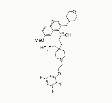 COc1ccc2ncc(CN3CCOCC3)c([C@@H](O)CCC3(CC(=O)O)CCN(CCOc4cc(F)cc(F)c4F)CC3)c2c1